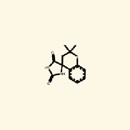 CC1(C)CC2(NC(=O)NC2=O)c2ccccc2S1